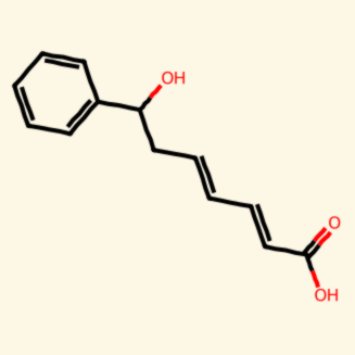 O=C(O)/C=C/C=C/CC(O)c1ccccc1